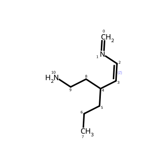 C=N/C=C\C(CCC)CCN